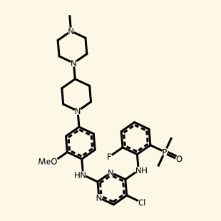 COc1cc(N2CCC(N3CCN(C)CC3)CC2)ccc1Nc1ncc(Cl)c(Nc2c(F)cccc2P(C)(C)=O)n1